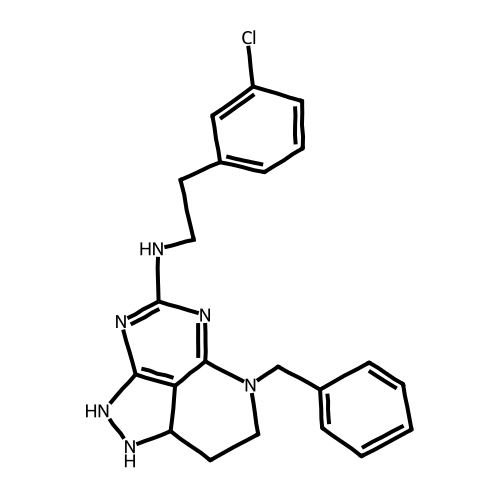 Clc1cccc(CCNc2nc3c4c(n2)N(Cc2ccccc2)CCC4NN3)c1